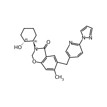 Cc1cc2c(cc1Cc1ccc(-n3cccn3)nc1)C(=O)N([C@@H]1CCCC[C@H]1O)CO2